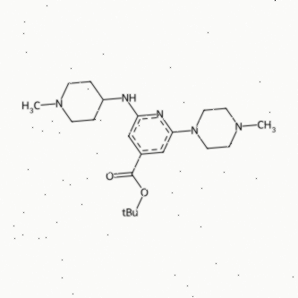 CN1CCC(Nc2cc(C(=O)OC(C)(C)C)cc(N3CCN(C)CC3)n2)CC1